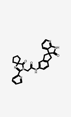 O=C(CN1C(=O)C2(CCCC2)N=C1c1ccccn1)Nc1ccc2c(c1)CC1(C2)C(=O)Nc2ncccc21